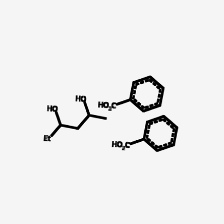 CCC(O)CC(C)O.O=C(O)c1ccccc1.O=C(O)c1ccccc1